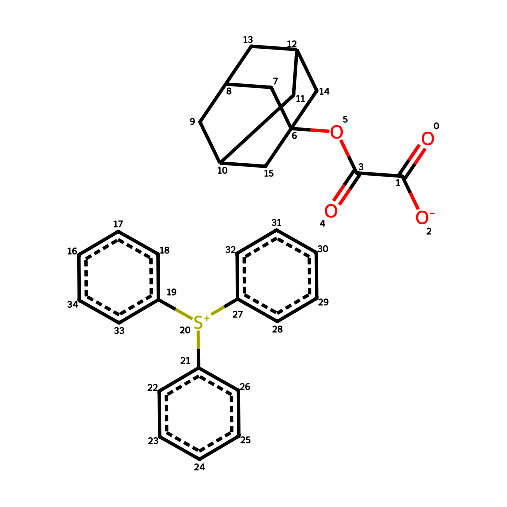 O=C([O-])C(=O)OC12CC3CC(CC(C3)C1)C2.c1ccc([S+](c2ccccc2)c2ccccc2)cc1